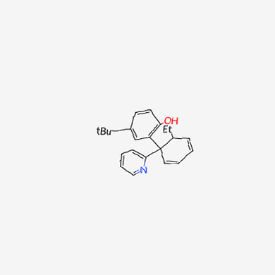 CCC1C=CC=CC1(c1ccccn1)c1cc(C(C)(C)C)ccc1O